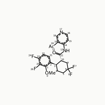 COc1c([C@@H]2CCC(F)(F)C[C@H]2C(=O)Nc2ccncc2C(C)=O)ccc(F)c1F